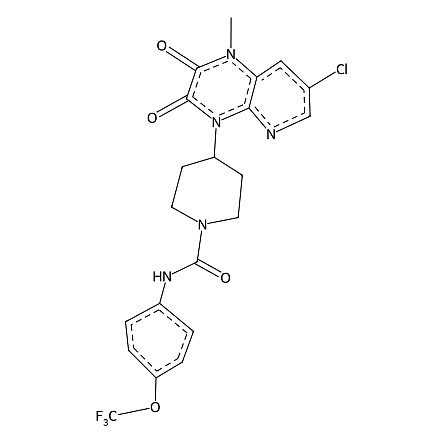 Cn1c(=O)c(=O)n(C2CCN(C(=O)Nc3ccc(OC(F)(F)F)cc3)CC2)c2ncc(Cl)cc21